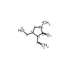 C=CC1C(=O)N(C)CC1CO